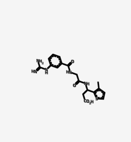 Cc1ccsc1C(CC(=O)O)NC(=O)CNC(=O)c1cccc(NC(=N)N)c1